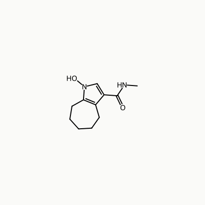 CNC(=O)c1cn(O)c2c1CCCCC2